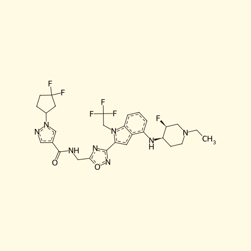 CCN1CC[C@@H](Nc2cccc3c2cc(-c2noc(CNC(=O)c4cnn(C5CCC(F)(F)C5)c4)n2)n3CC(F)(F)F)[C@@H](F)C1